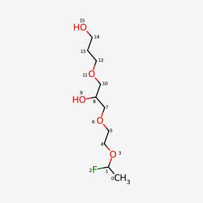 CC(F)OCCOCC(O)COCCCO